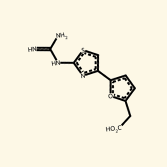 N=C(N)Nc1nc(-c2ccc(CC(=O)O)o2)cs1